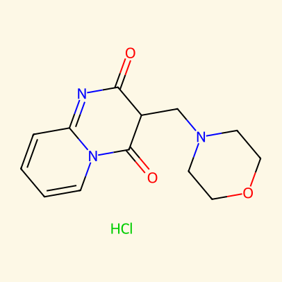 Cl.O=C1N=C2C=CC=CN2C(=O)C1CN1CCOCC1